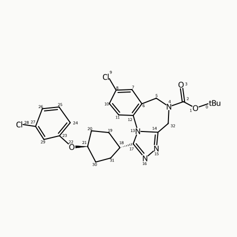 CC(C)(C)OC(=O)N1Cc2cc(Cl)ccc2-n2c(nnc2[C@H]2CC[C@H](Oc3cccc(Cl)c3)CC2)C1